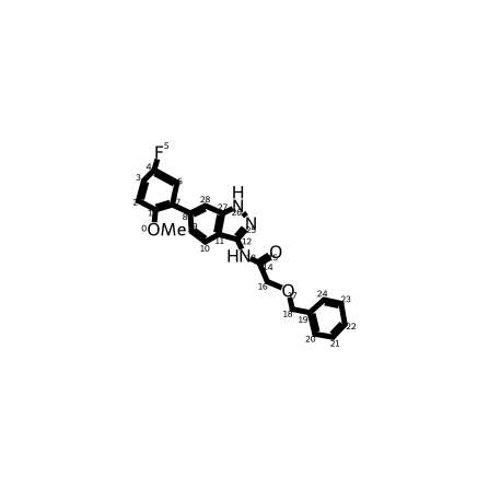 COc1ccc(F)cc1-c1ccc2c(NC(=O)COCc3ccccc3)n[nH]c2c1